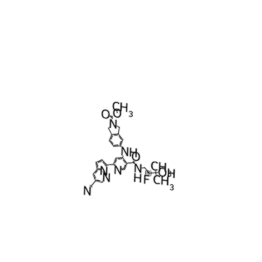 COC(=O)N1Cc2ccc(Nc3cc(-c4ccc5cc(C#N)cnn45)ncc3C(=O)NC[C@@H](F)C(C)(C)O)cc2C1